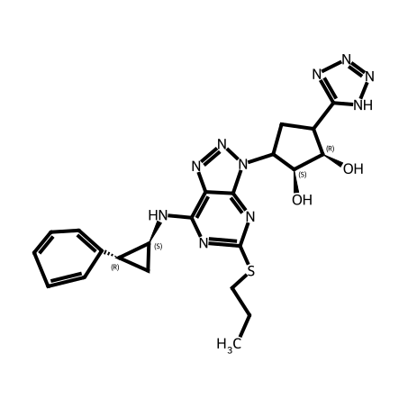 CCCSc1nc(N[C@H]2C[C@@H]2c2ccccc2)c2nnn(C3CC(c4nnn[nH]4)[C@@H](O)[C@H]3O)c2n1